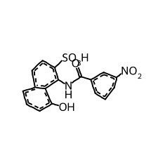 O=C(Nc1c(S(=O)(=O)O)ccc2cccc(O)c12)c1cccc([N+](=O)[O-])c1